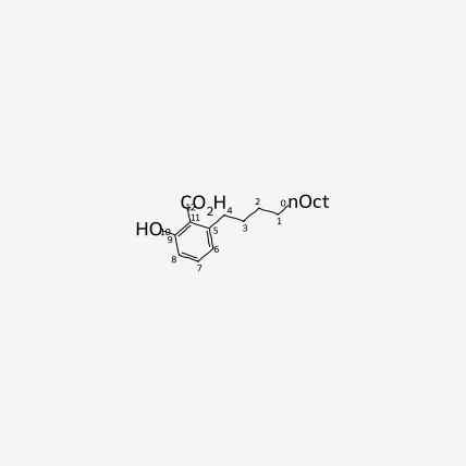 CCCCCCCCCCCCc1cccc(O)c1C(=O)O